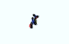 c1ccc(-c2nc(-c3ccc4oc5ccccc5c4c3)nc(-c3cccc4sc5cc(-c6nc(-c7ccccc7)nc7c6oc6ccccc67)ccc5c34)n2)cc1